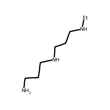 [CH2]CNCCCNCCCN